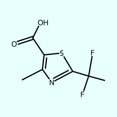 Cc1nc(C(C)(F)F)sc1C(=O)O